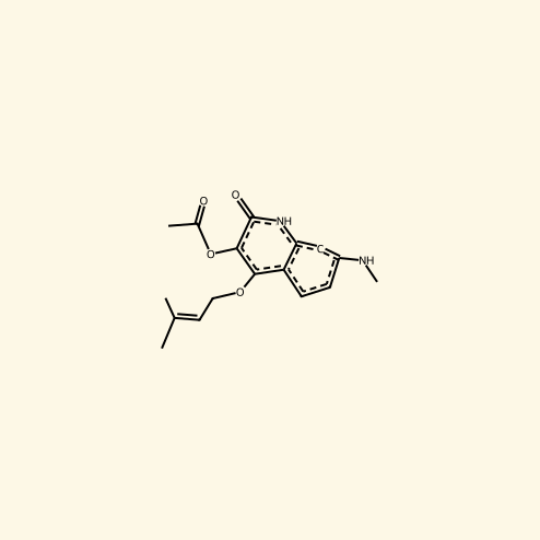 CNc1ccc2c(OCC=C(C)C)c(OC(C)=O)c(=O)[nH]c2c1